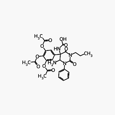 CCCN1C(=O)N(c2ccccc2)C(N)C(NC(=O)O)(c2cc(OC(C)=O)c(OC(C)=O)c(OC(C)=O)c2)C1=O